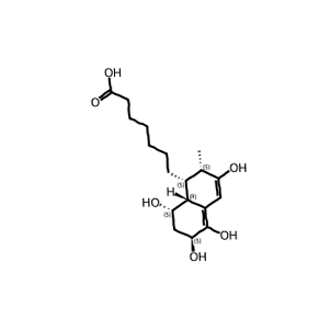 C[C@@H]1C(O)=CC2=C(O)[C@@H](O)C[C@H](O)[C@@H]2[C@@H]1CCCCCCC(=O)O